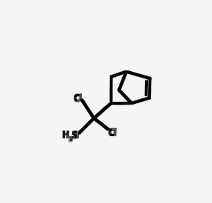 [SiH3]C(Cl)(Cl)C1CC2C=CC1C2